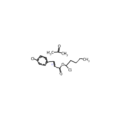 CC(C)=O.CCCCC(Cl)OC(=O)/C=C/c1ccc(Cl)cc1